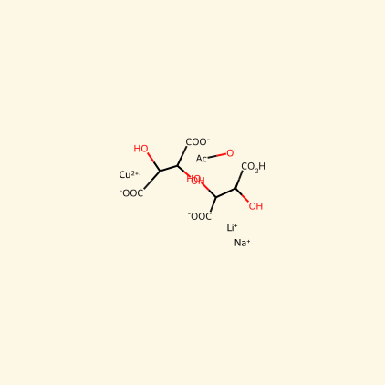 CC(=O)[O-].O=C([O-])C(O)C(O)C(=O)O.O=C([O-])C(O)C(O)C(=O)[O-].[Cu+2].[Li+].[Na+]